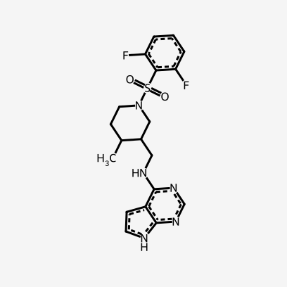 CC1CCN(S(=O)(=O)c2c(F)cccc2F)CC1CNc1ncnc2[nH]ccc12